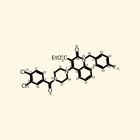 CCOC(=O)c1c(N2CCN(C(=O)c3ccc(Cl)c(Cl)c3)CC2)c2ccccc2n(Cc2ccc(F)cc2)c1=O